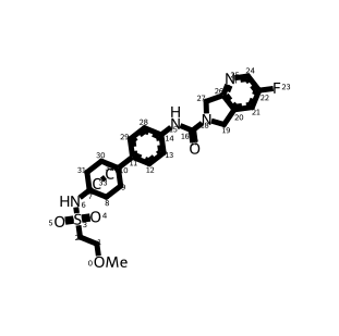 COCCS(=O)(=O)NC12CCC(c3ccc(NC(=O)N4Cc5cc(F)cnc5C4)cc3)(CC1)CC2